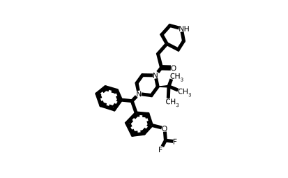 CC(C)(C)[C@H]1CN(C(c2ccccc2)c2cccc(OC(F)F)c2)CCN1C(=O)CC1CCNCC1